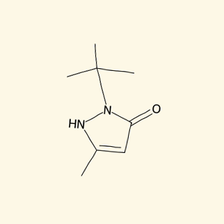 Cc1cc(=O)n(C(C)(C)C)[nH]1